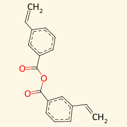 C=Cc1cccc(C(=O)OC(=O)c2cccc(C=C)c2)c1